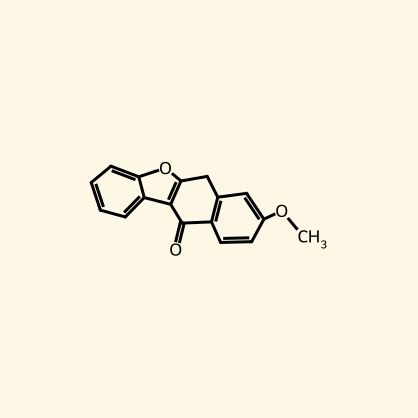 COc1ccc2c(c1)Cc1oc3ccccc3c1C2=O